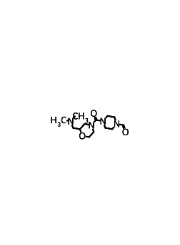 CN(C)CC1CN(C(=O)N2CCN(C=O)CC2)CCO1